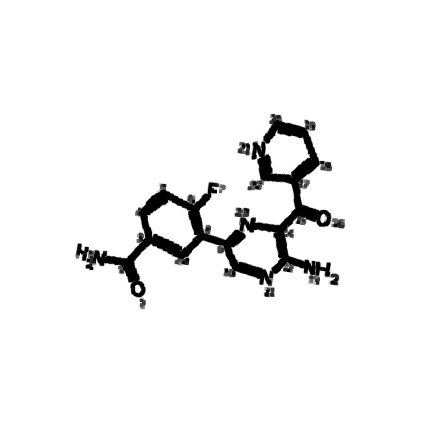 NC(=O)c1ccc(F)c(-c2cnc(N)c(C(=O)c3cccnc3)n2)c1